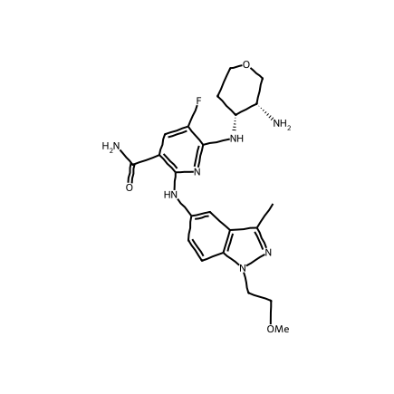 COCCn1nc(C)c2cc(Nc3nc(N[C@@H]4CCOC[C@@H]4N)c(F)cc3C(N)=O)ccc21